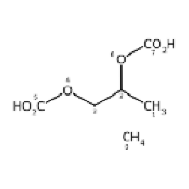 C.CC(COC(=O)O)OC(=O)O